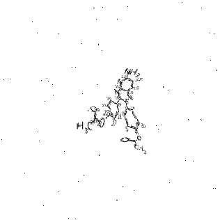 CC(=O)Oc1ccc(-c2nc3ccc(N)nc3nc2-c2ccc(OC(C)=O)cc2)cc1